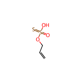 C=CCOS(=O)(O)=S